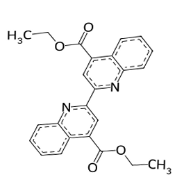 CCOC(=O)c1cc(-c2cc(C(=O)OCC)c3ccccc3n2)nc2ccccc12